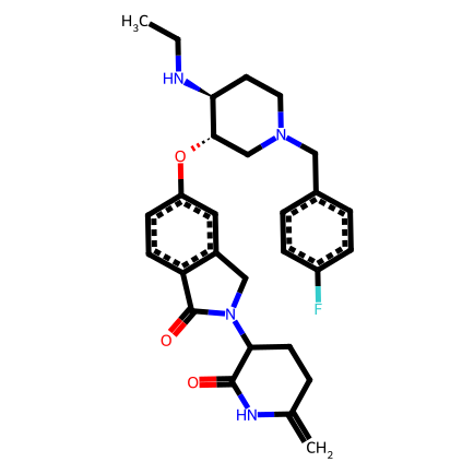 C=C1CCC(N2Cc3cc(O[C@H]4CN(Cc5ccc(F)cc5)CC[C@@H]4NCC)ccc3C2=O)C(=O)N1